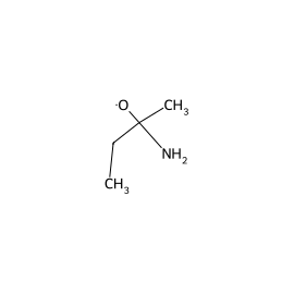 CCC(C)(N)[O]